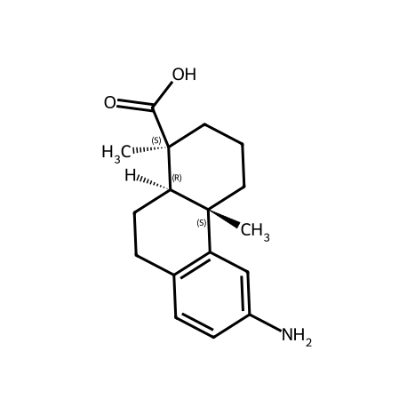 C[C@]1(C(=O)O)CCC[C@]2(C)c3cc(N)ccc3CC[C@@H]12